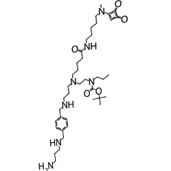 CCCN(CCN(CCCCC(=O)NCCCCCN(C)c1cc(=O)c1=O)CCCNCc1ccc(CNCCCN)cc1)C(=O)OC(C)(C)C